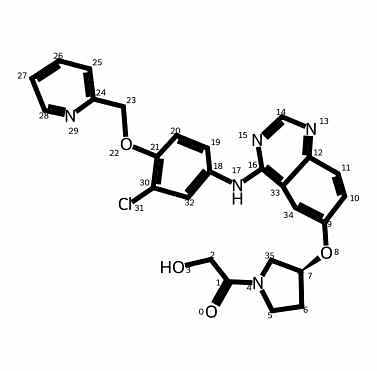 O=C(CO)N1CC[C@H](Oc2ccc3ncnc(Nc4ccc(OCc5ccccn5)c(Cl)c4)c3c2)C1